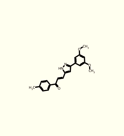 COc1cc(OC)cc(-c2cc(C=CC(=O)c3ccc(C)cc3)[nH]n2)c1